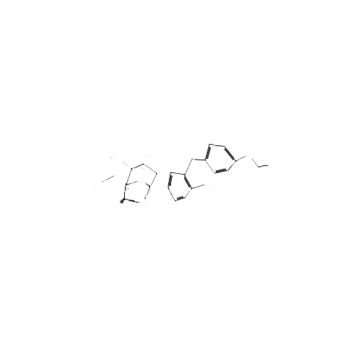 CCOc1ccc(Cc2cc([C@@]34C[C@@H](O)[C@H](O)[C@@](CO)(O3)C(=O)O4)ccc2Cl)cc1